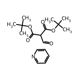 CC(C)(C)OC(=O)C(C=O)C(=O)OC(C)(C)C.c1ccncc1